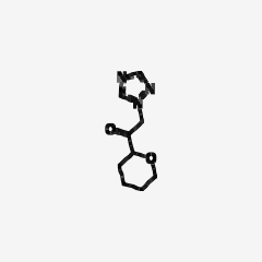 O=C(Cn1cncn1)C1CCCCO1